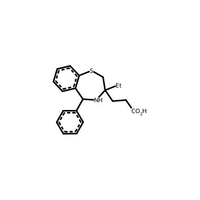 CCC1(CCC(=O)O)CSc2ccccc2C(c2ccccc2)N1